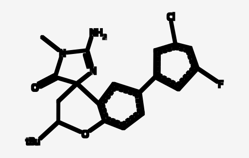 CN1C(=O)C2(CC(C(C)(C)C)Oc3ccc(-c4cc(F)cc(Cl)c4)cc32)N=C1N